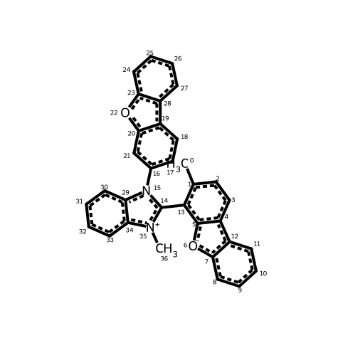 Cc1ccc2c(oc3ccccc32)c1-c1n(-c2ccc3c(c2)oc2ccccc23)c2ccccc2[n+]1C